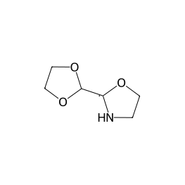 C1CO[C](C2OCCO2)N1